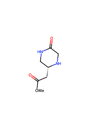 COC(=O)C[C@@H]1CNC(=O)CN1